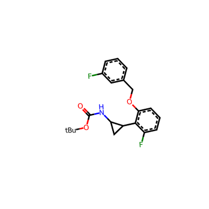 CC(C)(C)OC(=O)NC1CC1c1c(F)cccc1OCc1cccc(F)c1